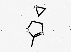 C1CO1.CC1=NCCO1